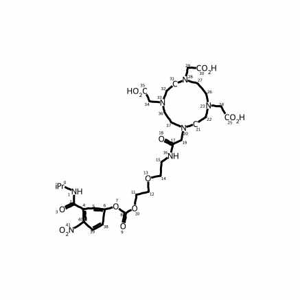 CC(C)NC(=O)c1cc(OC(=O)OCCOCCNC(=O)CN2CCN(CC(=O)O)CCN(CC(=O)O)CCN(CC(=O)O)CC2)ccc1[N+](=O)[O-]